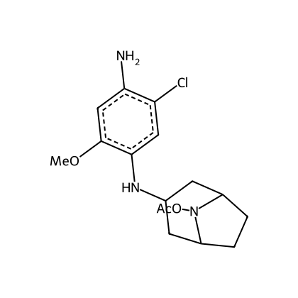 COc1cc(N)c(Cl)cc1NC1CC2CCC(C1)N2OC(C)=O